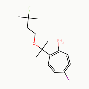 BC1=C(C(C)(C)OCCC(C)(C)F)C=CC(I)=C=C1